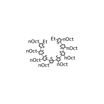 CCCCCCCCc1cc(-c2sc(-c3sc(-c4sc(-c5sc(-c6sc(-c7sc(-c8sc(CC)cc8CCCCCCCC)cc7CCCCCCCC)cc6CCCCCCCC)cc5CCCCCCCC)cc4CCCCCCCC)cc3CCCCCCCC)cc2CCCCCCCC)sc1CC